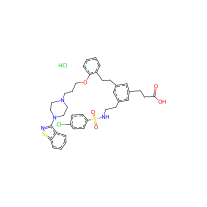 Cl.O=C(O)CCc1cc(CCNS(=O)(=O)c2ccc(Cl)cc2)cc(CCc2ccccc2OCCCN2CCN(c3nsc4ccccc34)CC2)c1